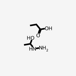 CC(O)NN.CCC(=O)O